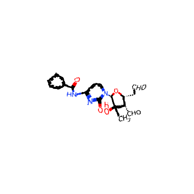 CC1(O)[C@@H](C=O)[C@@H](CC=O)O[C@H]1n1ccc(NC(=O)c2ccccc2)nc1=O